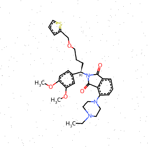 CCN1CCN(c2cccc3c2C(=O)N([C@H](CCCOCc2cccs2)c2ccc(OC)c(OC)c2)C3=O)CC1